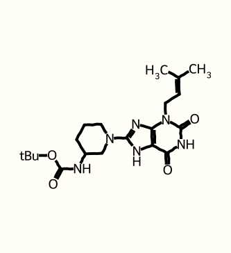 CC(C)=CCn1c(=O)[nH]c(=O)c2[nH]c(N3CCCC(NC(=O)OC(C)(C)C)C3)nc21